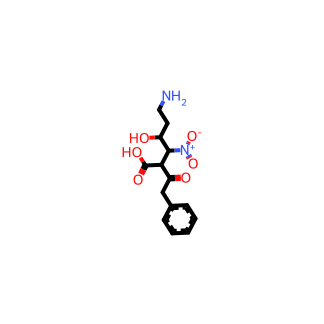 NCCC(O)C(C(C(=O)O)C(=O)Cc1ccccc1)[N+](=O)[O-]